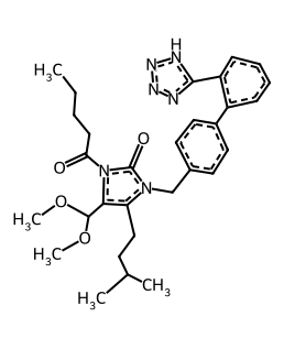 CCCCC(=O)n1c(C(OC)OC)c(CCC(C)C)n(Cc2ccc(-c3ccccc3-c3nnn[nH]3)cc2)c1=O